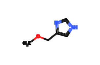 [CH2]OCc1c[nH]cn1